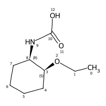 CCO[C@H]1CCCC[C@H]1NC(=O)O